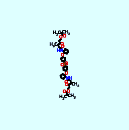 C=C(C)C(=O)OCCC(=O)C(C)CC(=O)Nc1ccccc1Oc1ccc(S(=O)(=O)c2ccc(Oc3ccccc3NC(=O)CC(C)C(=O)CCOC(=O)C(=C)C)cc2)cc1